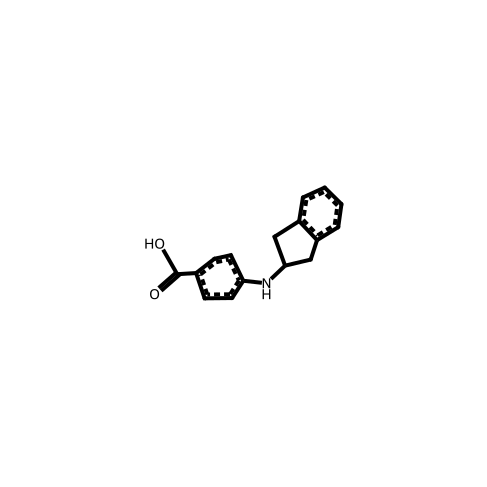 O=C(O)c1ccc(NC2Cc3ccccc3C2)cc1